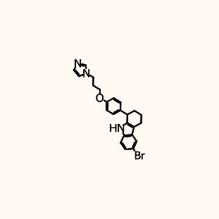 Brc1ccc2[nH]c3c(c2c1)CCCC3c1ccc(OCCCn2ccnc2)cc1